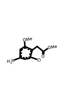 COC(=O)Cc1c(Cl)cc(N)cc1OC